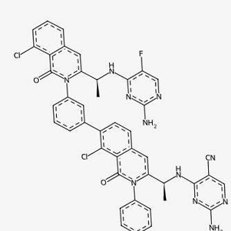 C[C@H](Nc1nc(N)ncc1F)c1cc2cccc(Cl)c2c(=O)n1-c1cccc(-c2ccc3cc([C@H](C)Nc4nc(N)ncc4C#N)n(-c4ccccc4)c(=O)c3c2Cl)c1